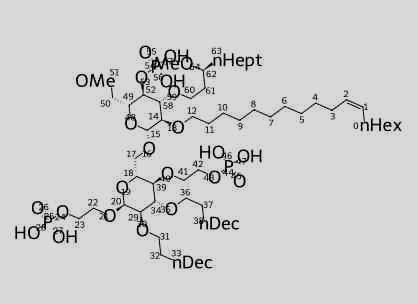 CCCCCC/C=C\CCCCCCCCCCO[C@H]1[C@H](OC[C@H]2O[C@H](OCCOP(=O)(O)O)[C@H](OCCCCCCCCCCCC)[C@@H](OCCCCCCCCCCCC)[C@@H]2OCCOP(=O)(O)O)O[C@H](COC)[C@@H](OP(=O)(O)O)[C@@H]1OCC[C@H](CCCCCCC)OC